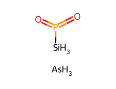 O=P(=O)[SiH3].[AsH3]